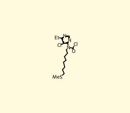 CCc1ncnc(N(CCCCCCCCSC)C(=O)Cl)c1Cl